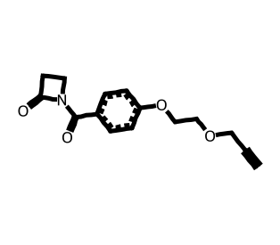 C#CCOCCOc1ccc(C(=O)N2CCC2=O)cc1